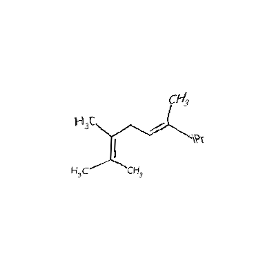 CC(=CCC(C)=C(C)C)C(C)C